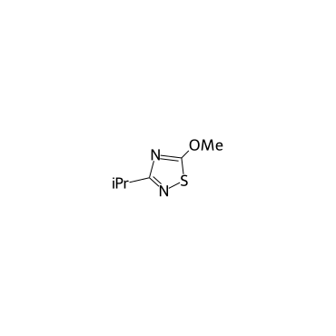 COc1nc(C(C)C)ns1